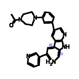 C=C(/C=c1\c(=C/N)[nH]c2ncc(-c3cccc(N4CCN(C(C)=O)CC4)c3)cc12)c1cccnc1